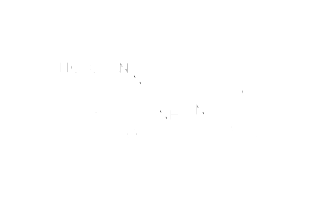 Cc1nc(-c2cn3nc(C(=O)O)c(C4CC4)c3c(=O)[nH]2)ccc1Cl